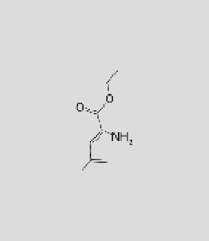 C=C(C)/C=C(\N)C(=O)OCC